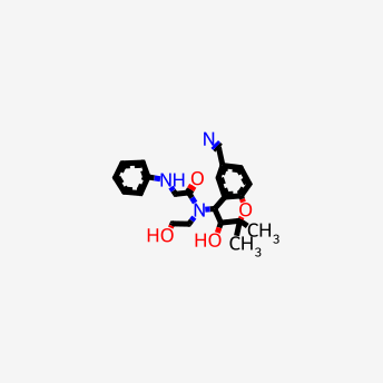 CC1(C)Oc2ccc(C#N)cc2C(N(CCO)C(=O)CNc2ccccc2)C1O